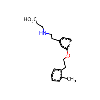 Cc1ccccc1CCOc1cccc(CCNCCC(=O)O)c1